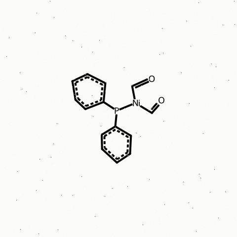 O=[CH][Ni]([CH]=O)[P](c1ccccc1)c1ccccc1